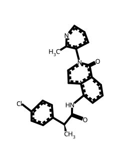 Cc1ncccc1-n1ccc2c(NC(=O)[C@@H](C)c3ccc(Cl)cc3)cccc2c1=O